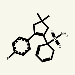 CC1(C)CC(c2ccc(F)cc2)=C(C2(S(N)(=O)=O)C=CC=CC2)C1